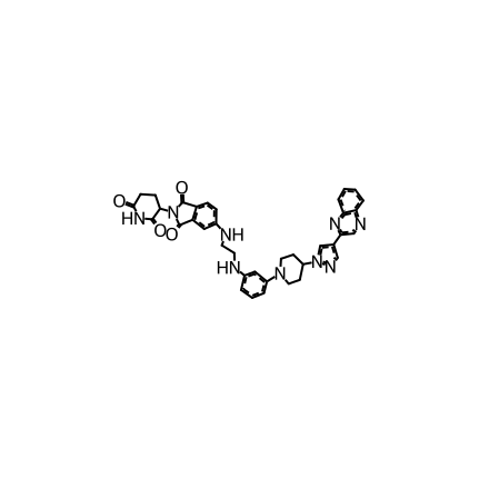 O=C1CCC(N2C(=O)c3ccc(NCCNc4cccc(N5CCC(n6cc(-c7cnc8ccccc8n7)cn6)CC5)c4)cc3C2=O)C(=O)N1